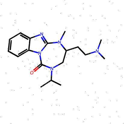 CC(C)N1CC(CCN(C)C)N(C)c2nc3ccccc3n2C1=O